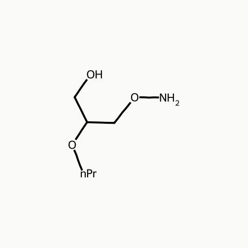 CCCOC(CO)CON